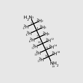 [2H]C([2H])(N)C([2H])([2H])C([2H])([2H])C([2H])([2H])C([2H])([2H])C([2H])([2H])N